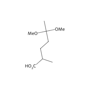 COC(C)(CCC(C)C(=O)O)OC